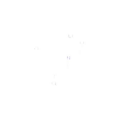 CCOC(C)N(CCCl)CCCl